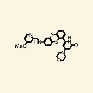 COc1ccnc(CNc2ccc3c(c2)Sc2cccc(-c4cc(N5CCOCC5)cc(=O)[nH]4)c2S3)c1